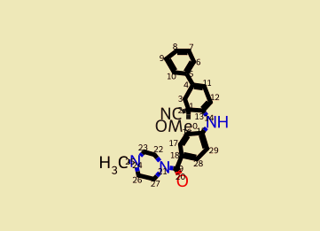 COC1(C#N)CC(c2ccccc2)=CC=C1Nc1ccc(C(=O)N2CCN(C)CC2)cc1